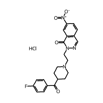 Cl.O=C(c1ccc(F)cc1)C1CCN(CCn2ncc3ccc([N+](=O)[O-])cc3c2=O)CC1